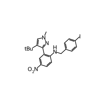 Cn1cc(C(C)(C)C)c(-c2cc([N+](=O)[O-])ccc2NCc2ccc(I)cc2)n1